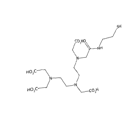 O=C(O)CN(CCN(CC(=O)O)CC(=O)O)CCN(CC(=O)O)CC(=O)NCCS